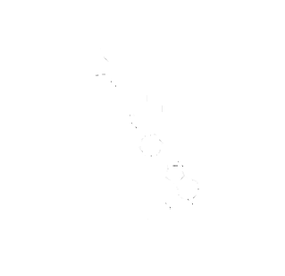 C=CC(=O)N1CCC([C@@H](Nc2ccc(-c3cc4c(N5CCOCC5)nccc4[nH]3)cc2)C(F)(F)F)CC1